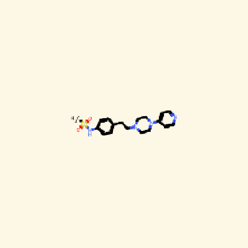 CS(=O)(=O)Nc1ccc(CCN2CCN(c3ccncc3)CC2)cc1